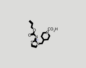 C=CCOC(=O)/N=c1\sccn1CC1CCN(C(=O)O)CC1